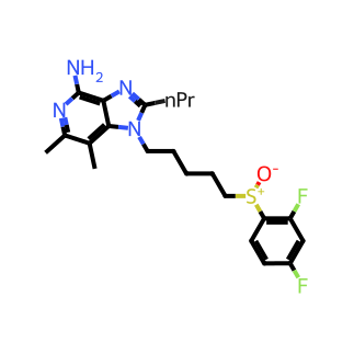 CCCc1nc2c(N)nc(C)c(C)c2n1CCCCC[S+]([O-])c1ccc(F)cc1F